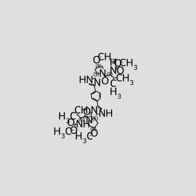 COC(=O)N[C@H](C(=O)N1C[C@@H](OC)C[C@H]1c1nc(-c2ccc(-c3c[nH]c([C@@H]4C[C@H](OC)CN4C(=O)[C@@H](NC(=O)OC)C(C)C)n3)cc2)c[nH]1)C(C)C